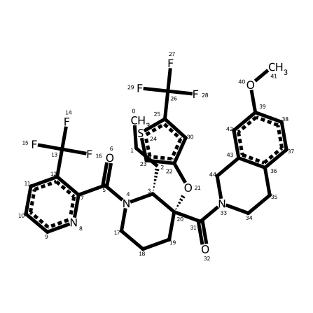 CCC[C@H]1N(C(=O)c2ncccc2C(F)(F)F)CCC[C@]1(Oc1csc(C(F)(F)F)c1)C(=O)N1CCc2ccc(OC)cc2C1